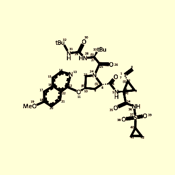 C=C[C@@H]1C[C@]1(NC(=O)[C@@H]1C[C@@H](Oc2nccc3cc(OC)ccc23)CN1C(=O)[C@@H](NC(=O)NC(C)(C)C)C(C)(C)C)C(=O)NS(=O)(=O)C1CC1